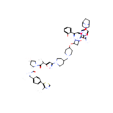 Cc1ncsc1-c1ccc([C@H](C)NC(=O)[C@@H]2C[C@@H](O)CN2C(=O)C(c2cc(N3CCC(CN4CCC(OC5CC(Oc6ccc(N7C8CCC7CC(N7N=C(N)C(=N)/C7=C\C(=N)c7ccccc7O)C8)cn6)C5)CC4)CC3)no2)C(C)C)cc1